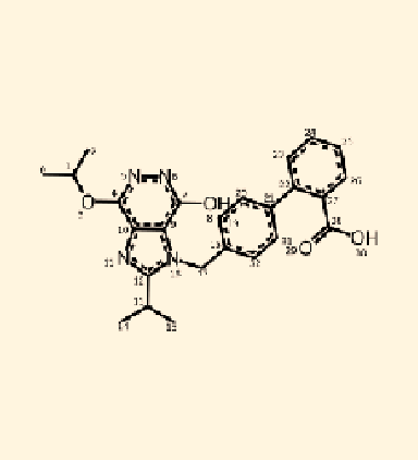 CC(C)Oc1nnc(O)c2c1nc(C(C)C)n2Cc1ccc(-c2ccccc2C(=O)O)cc1